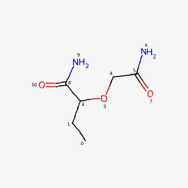 CCC(OCC(N)=O)C(N)=O